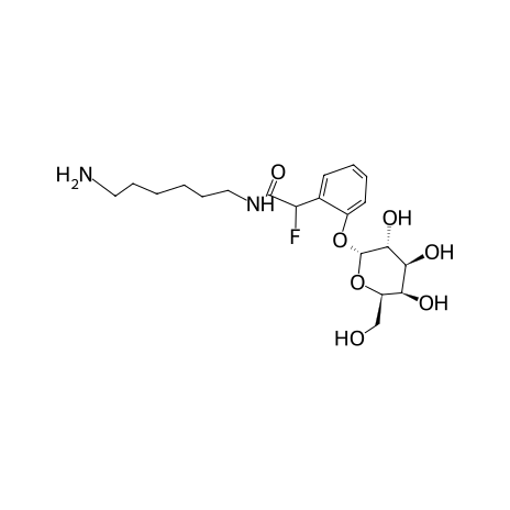 NCCCCCCNC(=O)C(F)c1ccccc1O[C@H]1O[C@H](CO)[C@H](O)[C@H](O)[C@H]1O